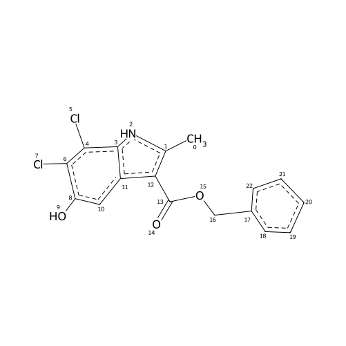 Cc1[nH]c2c(Cl)c(Cl)c(O)cc2c1C(=O)OCc1ccccc1